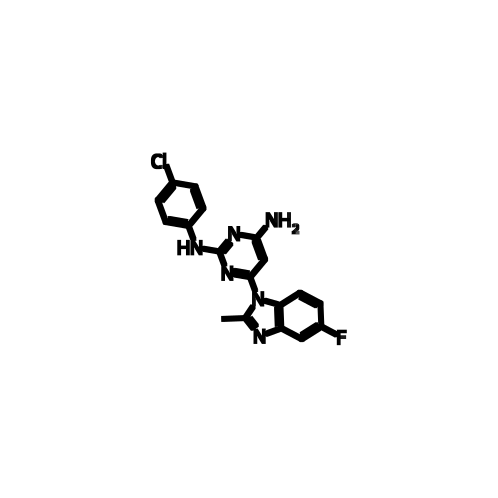 Cc1nc2cc(F)ccc2n1-c1cc(N)nc(Nc2ccc(Cl)cc2)n1